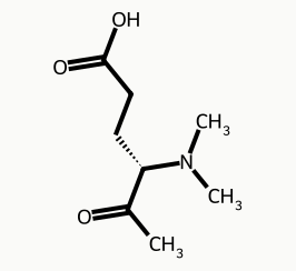 CC(=O)[C@H](CCC(=O)O)N(C)C